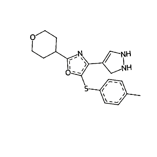 Cc1ccc(Sc2oc(C3CCOCC3)nc2C2=CNNC2)cc1